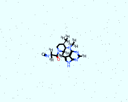 [2H]c1nc(N([C@@H]2[C@H](C([2H])([2H])[2H])CCN(C(=O)C([2H])([2H])[N+]#[C-])C2([2H])[2H])C([2H])([2H])[2H])c2c([2H])c[nH]c2n1